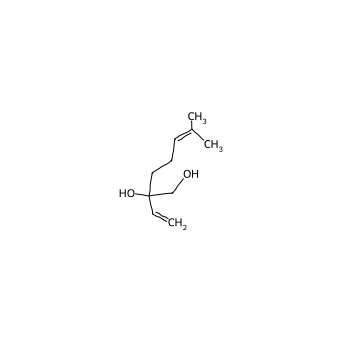 C=CC(O)(CO)CCC=C(C)C